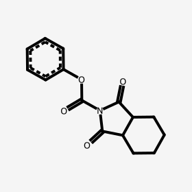 O=C(Oc1ccccc1)N1C(=O)C2CCCCC2C1=O